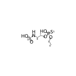 CCOP(O)(=S)OCCNC(=O)O